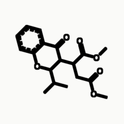 COC(=O)CC(C(=O)OC)C1C(=O)c2ccccc2OC1C(C)C